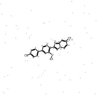 CCSc1cc(-c2ccc(Cl)cc2)cnc1-c1cn2ccc(C(F)(F)F)cc2n1